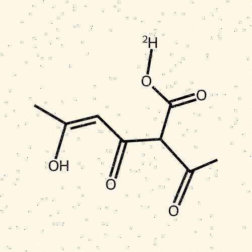 [2H]OC(=O)C(C(C)=O)C(=O)C=C(C)O